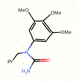 COc1cc(N(CC(C)C)C(N)=O)cc(OC)c1OC